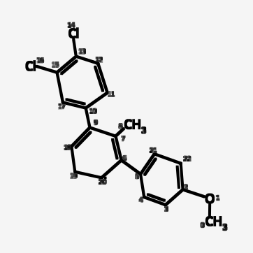 COc1ccc(C2=C(C)C(c3ccc(Cl)c(Cl)c3)=CC[CH]2)cc1